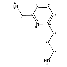 NCc1cccc(CCCO)n1